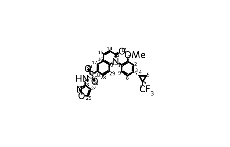 COc1cc([C@@H]2C[C@H]2C(F)(F)F)ccc1-n1c(=O)ccc2cc(S(=O)(=O)Nc3ccon3)ccc21